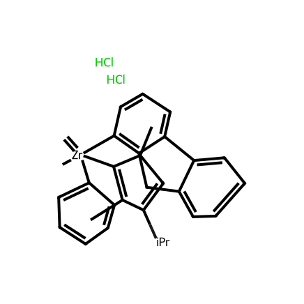 Cl.Cl.[CH2]=[Zr]([CH3])([C]1=C(C)C(C(C)C)=CC1C)([c]1ccccc1)[c]1cccc2c1Cc1ccccc1-2